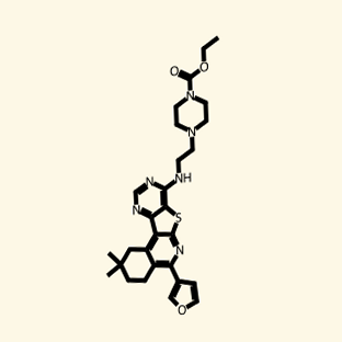 CCOC(=O)N1CCN(CCNc2ncnc3c2sc2nc(-c4ccoc4)c4c(c23)CC(C)(C)CC4)CC1